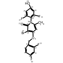 Cc1cc(OCc2ccc(F)cc2F)c(Br)c(=O)n1-c1c(F)cc(O)cc1F